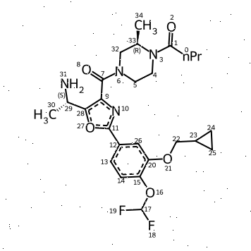 CCCC(=O)N1CCN(C(=O)c2nc(-c3ccc(OC(F)F)c(OCC4CC4)c3)oc2[C@H](C)N)C[C@H]1C